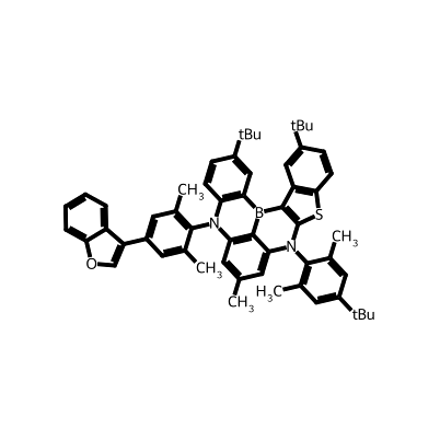 Cc1cc2c3c(c1)N(c1c(C)cc(C(C)(C)C)cc1C)c1sc4ccc(C(C)(C)C)cc4c1B3c1cc(C(C)(C)C)ccc1N2c1c(C)cc(-c2coc3ccccc23)cc1C